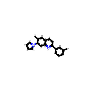 Cc1cccc(-c2ccc3cc(C)c(-n4cccc4)cc3n2)c1